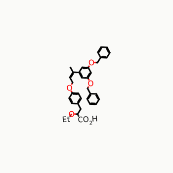 CCOC(Cc1ccc(OCC=C(C)c2cc(OCc3ccccc3)cc(OCc3ccccc3)c2)cc1)C(=O)O